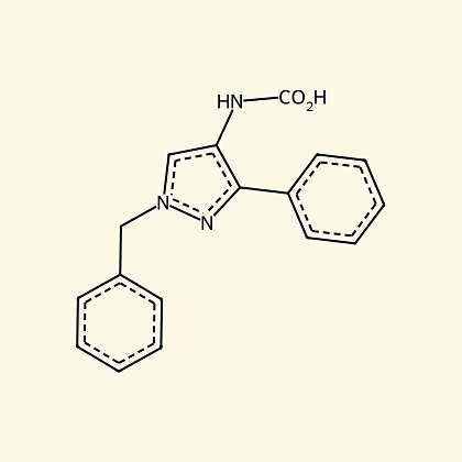 O=C(O)Nc1cn(Cc2ccccc2)nc1-c1ccccc1